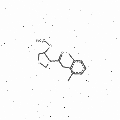 CCOC(=O)OC1CSCN1C(=O)Cc1c(C)cccc1C